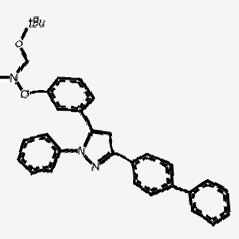 CN(COC(C)(C)C)Oc1cccc(C2CC(c3ccc(-c4ccccc4)cc3)=NN2c2ccccc2)c1